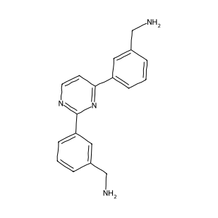 NCc1cccc(-c2ccnc(-c3cccc(CN)c3)n2)c1